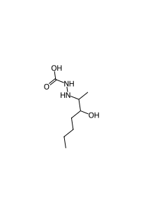 CCCCC(O)C(C)NNC(=O)O